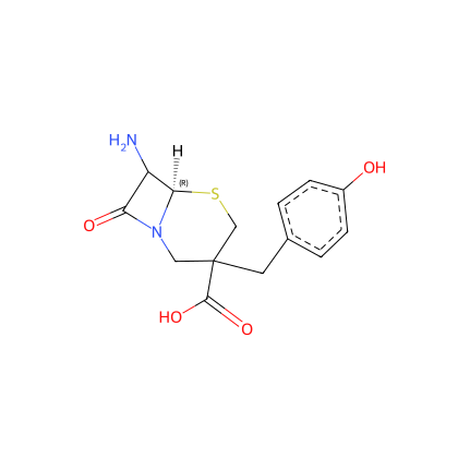 NC1C(=O)N2CC(Cc3ccc(O)cc3)(C(=O)O)CS[C@H]12